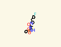 O=C(c1csc(NS(=O)(=O)c2ccccc2)n1)N1CCCC(Cc2ccc(F)cc2)C1